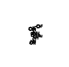 CC(C)(C)[C@H](NC(=O)c1nn(Cc2ccc(F)cc2)c2ccccc12)C(=O)NCc1nnc2n1CCC2